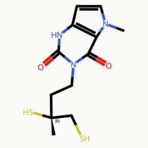 Cn1ccc2[nH]c(=O)n(CC[C@@](C)(S)CS)c(=O)c21